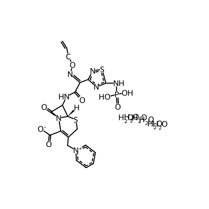 C=CCON=C(C(=O)NC1C(=O)N2C(C(=O)[O-])=C(C[n+]3ccccc3)CS[C@@H]12)c1nsc(NP(=O)(O)O)n1.O.O.O.O.O.O